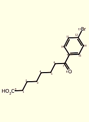 O=C(O)CCCCCCC(=O)c1ccc(Br)cc1